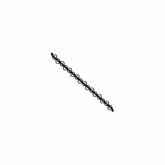 C#CCOCCOCCOCCOCCOCCOCCOCCOCCOCCOCCOCCOCCOCCOCCOCCOCC#C